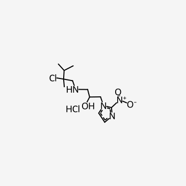 CC(C)C(C)(Cl)CNCC(O)Cn1ccnc1[N+](=O)[O-].Cl